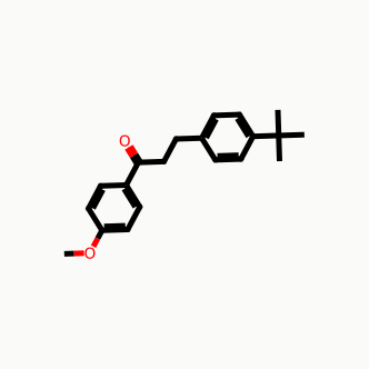 COc1ccc(C(=O)CCc2ccc(C(C)(C)C)cc2)cc1